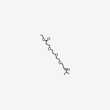 CCOC(=O)CCOCCOCCOCCNC(C)C